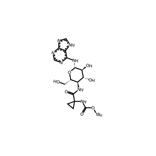 CC(C)(C)OC(=O)NC1(C(=O)N[C@@H]2[C@@H](O)[C@H](O)[C@@H](Nc3ncnc4nc[nH]c34)O[C@H]2CO)CC1